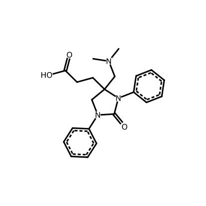 CN(C)CC1(CCC(=O)O)CN(c2ccccc2)C(=O)N1c1ccccc1